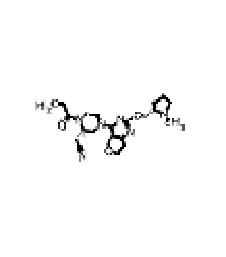 C=CC(=O)N1CCN(c2nc(OC[C@@H]3CCCN3C)nc3c2COCC3)C[C@@H]1CC#N